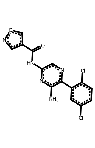 Nc1nc(NC(=O)c2cnoc2)cnc1-c1cc(Cl)ccc1Cl